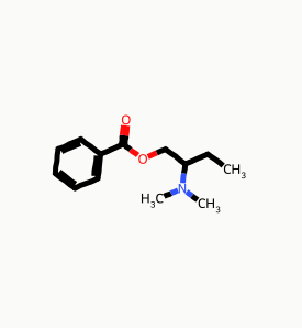 CCC(COC(=O)c1ccccc1)N(C)C